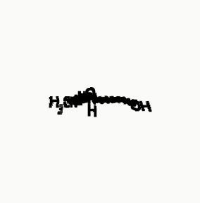 CCCN1CCN(c2ccc(C(=O)NCCCCCCCCCCCCCCCO)cn2)CC1